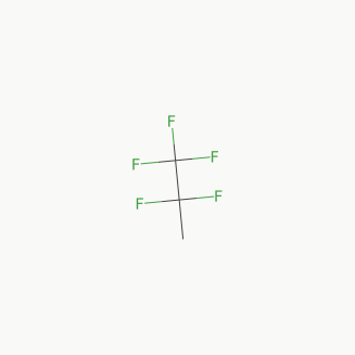 CC(F)(F)C(F)(F)F